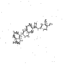 Fc1ccc(CNc2ncc3cc(-c4ncnc5[nH]ncc45)ccc3n2)cc1F